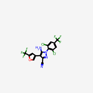 N#Cc1nn(-c2c(Cl)cc(C(F)(F)F)cc2Cl)c(N)c1-c1coc(C(F)(F)F)c1